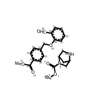 CC(C)(C)OC(=O)N1CC2CC1CN2.COC(=O)c1ccc(COc2ccccc2C=O)cc1